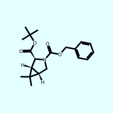 CC(C)(C)OC(=O)[C@@H]1[C@@H]2[C@H](CN1C(=O)OCc1ccccc1)C2(C)C